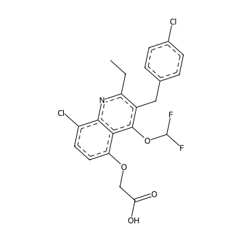 CCc1nc2c(Cl)ccc(OCC(=O)O)c2c(OC(F)F)c1Cc1ccc(Cl)cc1